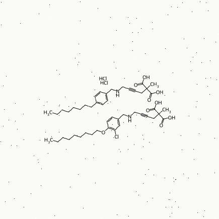 CCCCCCCCCOc1ccc(CNCC#CCC(C)(C(=O)O)C(=O)O)cc1Cl.CCCCCCCCc1ccc(CNCC#CCC(C)(C(=O)O)C(=O)O)cc1.Cl.Cl